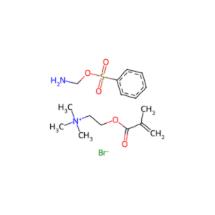 C=C(C)C(=O)OCC[N+](C)(C)C.NCOS(=O)(=O)c1ccccc1.[Br-]